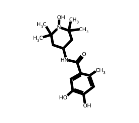 Cc1cc(O)c(O)cc1C(=O)NC1CC(C)(C)N(O)C(C)(C)C1